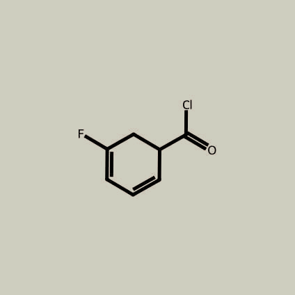 O=C(Cl)C1C=CC=C(F)C1